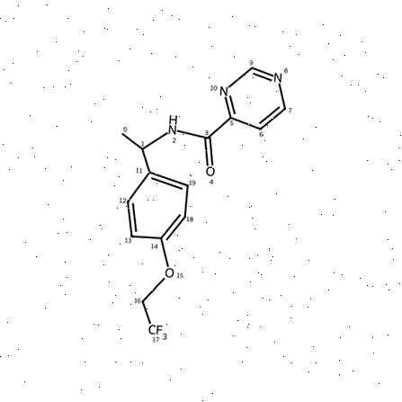 CC(NC(=O)c1ccncn1)c1ccc(OCC(F)(F)F)cc1